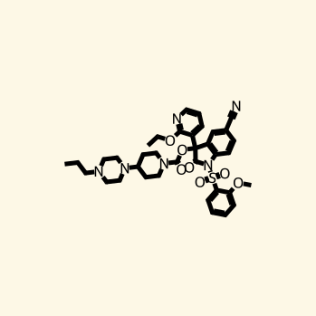 CCCN1CCN(C2CCN(C(=O)OC3(c4cccnc4OCC)C(=O)N(S(=O)(=O)c4ccccc4OC)c4ccc(C#N)cc43)CC2)CC1